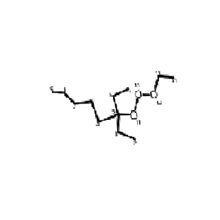 CCCCCC(CC)(CC)OOOCC